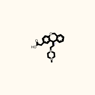 CN1CCN(C/C=C2/c3ccccc3COc3ccc(CC(=O)O)cc32)CC1